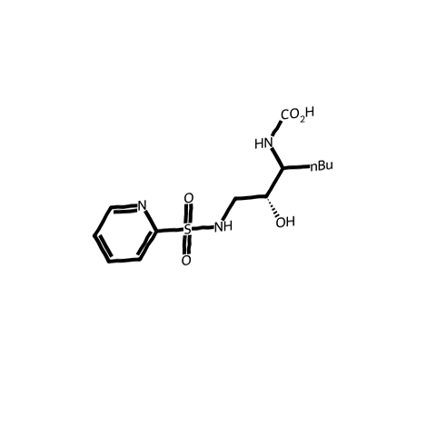 CCCCC(NC(=O)O)[C@H](O)CNS(=O)(=O)c1ccccn1